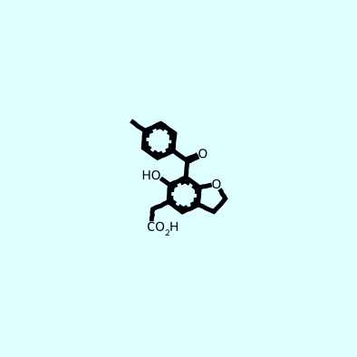 Cc1ccc(C(=O)c2c(O)c(CC(=O)O)cc3c2OCC3)cc1